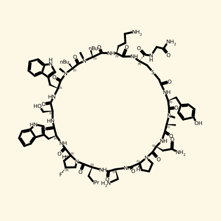 CCCC[C@H]1C(=O)N(C)[C@@H](CCCC)C(=O)N[C@@H](CCCN)C(=O)N[C@H](C(=O)NCC(N)=O)CSCC(=O)N[C@@H](Cc2ccc(O)cc2)C(=O)N(C)[C@@H](C)C(=O)N[C@@H](CC(N)=O)C(=O)N2CCC[C@H]2C(=O)N[C@@H](CN)C(=O)N[C@@H](CC(C)C)C(=O)N2C[C@H](F)C[C@H]2C(=O)N[C@@H](Cc2c[nH]c3ccccc23)C(=O)N[C@@H](CO)C(=O)N[C@@H](Cc2c[nH]c3ccccc23)C(=O)N1C